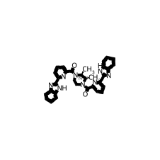 C[C@H]1[C@H](C)N(C(=O)c2cccc(-c3nc4ccccc4[nH]3)n2)CCN1C(=O)c1cccc(-c2nc3ccccc3[nH]2)n1